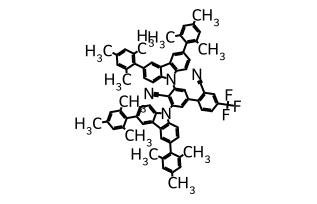 Cc1cc(C)c(-c2ccc3c(c2)c2cc(-c4c(C)cc(C)cc4C)ccc2n3-c2cc(-c3ccc(C(F)(F)F)cc3C#N)cc(-n3c4ccc(-c5c(C)cc(C)cc5C)cc4c4cc(-c5c(C)cc(C)cc5C)ccc43)c2C#N)c(C)c1